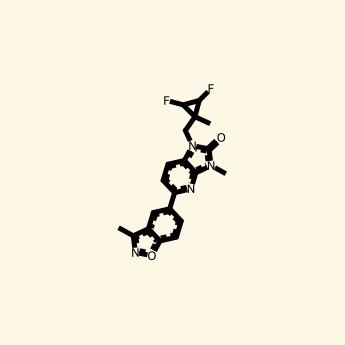 Cc1noc2ccc(-c3ccc4c(n3)n(C)c(=O)n4CC3(C)C(F)C3F)cc12